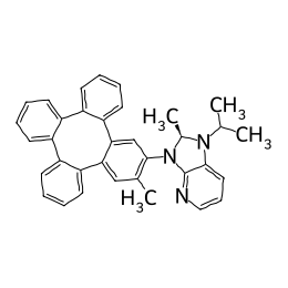 Cc1cc2c(cc1N1c3ncccc3N(C(C)C)[C@@H]1C)-c1ccccc1-c1ccccc1-c1ccccc1-2